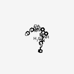 Cn1c(C(=O)Nc2cccc(-c3cccc(NC(=O)c4nc5c(n4C)CCN(C4CCOCC4)C5)c3C#N)c2Cl)nc2c1CCN(CCC13CCC(CC1)C3)C2